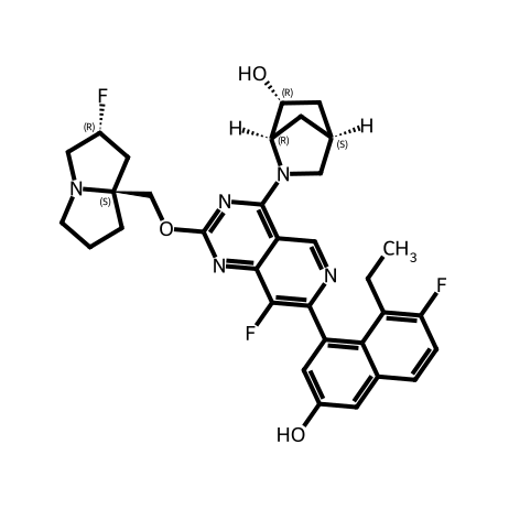 CCc1c(F)ccc2cc(O)cc(-c3ncc4c(N5C[C@@H]6C[C@@H](O)[C@H]5C6)nc(OC[C@@]56CCCN5C[C@H](F)C6)nc4c3F)c12